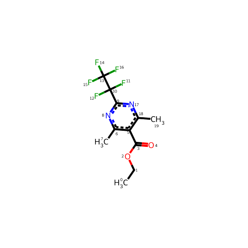 CCOC(=O)c1c(C)nc(C(F)(F)C(F)(F)F)nc1C